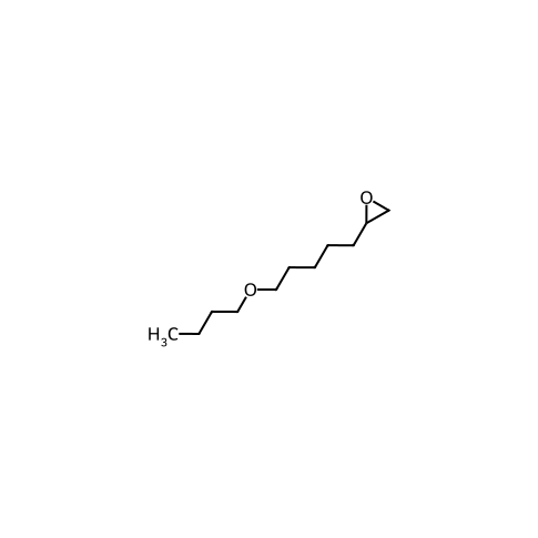 CCCCOCCCCCC1CO1